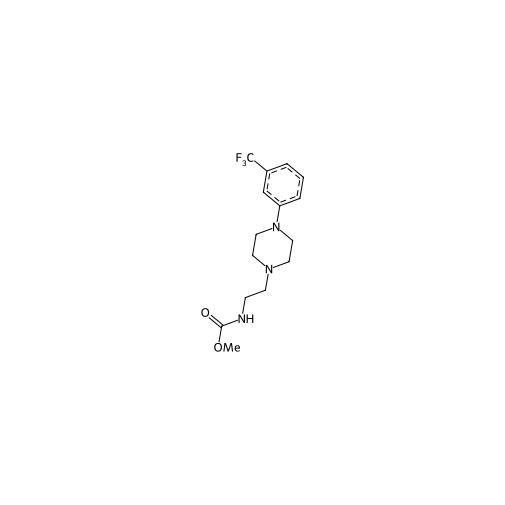 COC(=O)NCCN1CCN(c2cccc(C(F)(F)F)c2)CC1